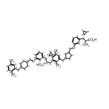 C[C@H](C(=O)O)[C@H](c1cccc(OCC2CCN(Cc3cc(C(F)(F)F)cc(C[C@H](C(=O)O)[C@H](c4cccc(OCC5CCN(Cc6cc(C(F)(F)F)ccc6C(F)(F)F)CC5)c4)C4CC4)c3C(F)(F)F)C2)c1)C1CC1